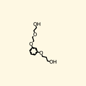 OCCCOc1cccc(OCCOCCO)c1